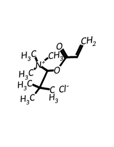 C=CC(=O)OC(C(C)(C)C)[N+](C)(C)C.[Cl-]